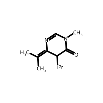 CC(C)=C1N=CN(C)C(=O)C1C(C)C